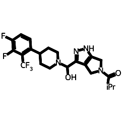 CC(C)C(=O)N1Cc2[nH]nc(C(O)N3CCC(c4ccc(F)c(F)c4C(F)(F)F)CC3)c2C1